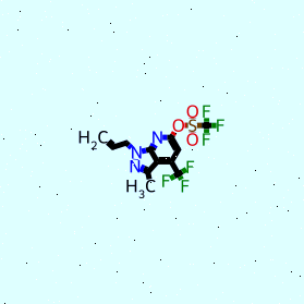 C=CCn1nc(C)c2c(C(F)(F)F)cc(OS(=O)(=O)C(F)(F)F)nc21